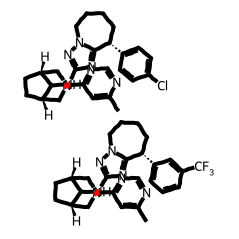 Cc1cc(N2C[C@H]3CC[C@@H](C2)C3Nc2nc3n(n2)CCCC[C@@H]3c2ccc(Cl)cc2)ncn1.Cc1cc(N2C[C@H]3CC[C@@H](C2)C3Nc2nc3n(n2)CCCC[C@@H]3c2cccc(C(F)(F)F)c2)ncn1